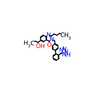 CCCCc1nc2ccc(C(O)CC)cc2c(=O)n1Cc1ccc(-c2ccccc2-c2nnn[nH]2)cc1